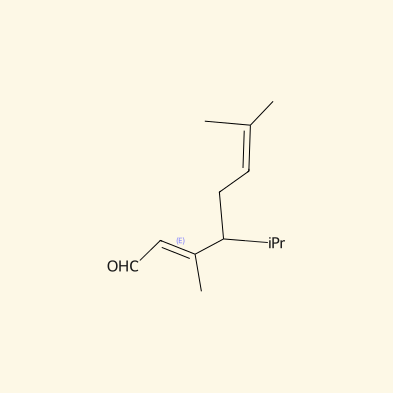 CC(C)=CCC(/C(C)=C/C=O)C(C)C